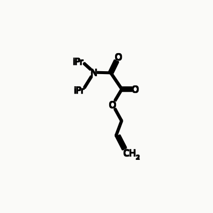 C=CCOC(=O)C(=O)N(C(C)C)C(C)C